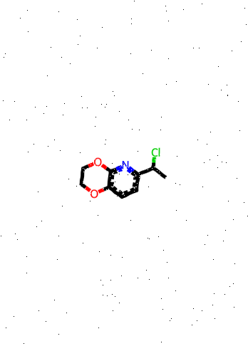 CC(Cl)c1ccc2c(n1)OCCO2